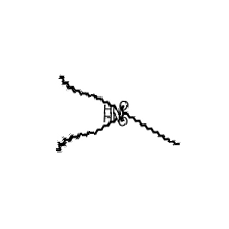 CCCCCCCCCCCCCCCCCCCC(C(=O)NCCCCCCCCCCCCCCCCCC)C(=O)NCCCCCCCCCCCCCCCCCC